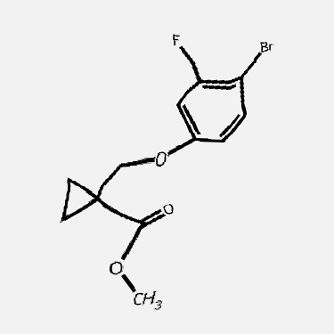 COC(=O)C1(COc2ccc(Br)c(F)c2)CC1